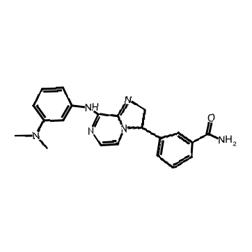 CN(C)c1cccc(NC2=NC=CN3C2=NCC3c2cccc(C(N)=O)c2)c1